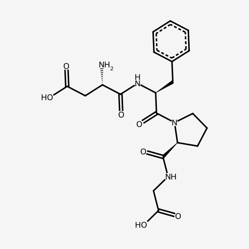 N[C@@H](CC(=O)O)C(=O)N[C@@H](Cc1ccccc1)C(=O)N1CCC[C@H]1C(=O)NCC(=O)O